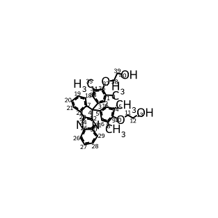 Cc1cc(C2(c3cc(C)c(OCCO)c(C)c3)c3ccccc3-c3nc4ccccc4nc32)cc(C)c1OCCO